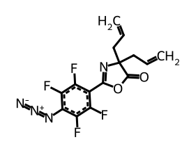 C=CCC1(CC=C)N=C(c2c(F)c(F)c(N=[N+]=[N-])c(F)c2F)OC1=O